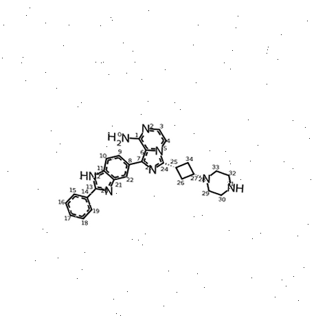 Nc1nccn2c1c(-c1ccc3[nH]c(-c4ccccc4)nc3c1)nc2[C@H]1C[C@@H](N2CCNCC2)C1